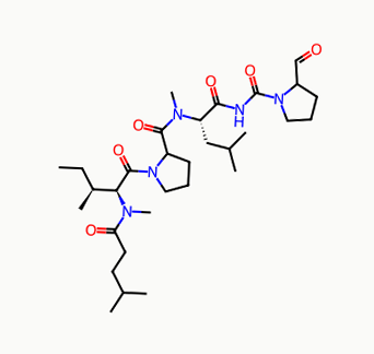 CC[C@H](C)[C@@H](C(=O)N1CCCC1C(=O)N(C)[C@@H](CC(C)C)C(=O)NC(=O)N1CCCC1C=O)N(C)C(=O)CCC(C)C